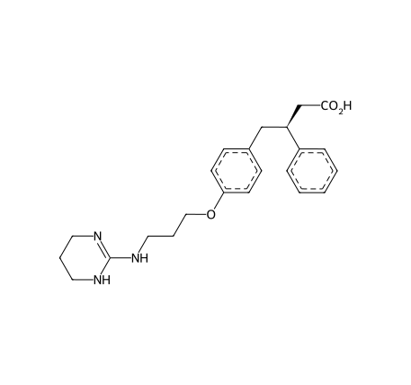 O=C(O)C[C@H](Cc1ccc(OCCCNC2=NCCCN2)cc1)c1ccccc1